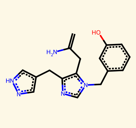 C=C(N)Cc1c(Cc2cn[nH]c2)ncn1Cc1cccc(O)c1